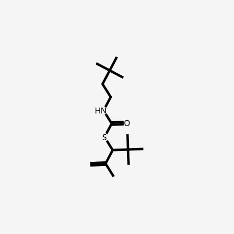 C=C(C)C(SC(=O)NCCC(C)(C)C)C(C)(C)C